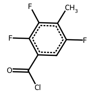 Cc1c(F)cc(C(=O)Cl)c(F)c1F